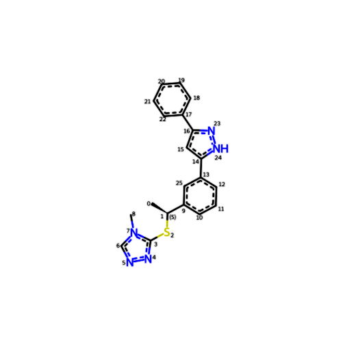 C[C@H](Sc1nncn1C)c1cccc(-c2cc(-c3ccccc3)n[nH]2)c1